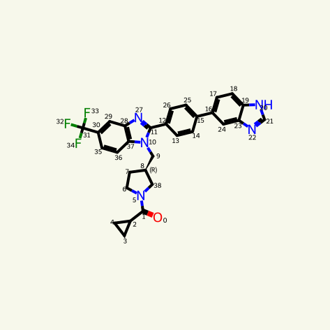 O=C(C1CC1)N1CC[C@@H](Cn2c(-c3ccc(-c4ccc5[nH]cnc5c4)cc3)nc3cc(C(F)(F)F)ccc32)C1